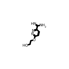 N=C(N)c1ccc(OCCO)nn1